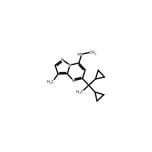 CNc1cc(C(C)(C2CC2)C2CC2)nc2c(C)cnn12